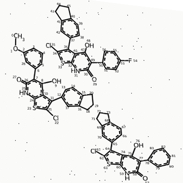 COc1cccc(-c2c(O)c3c(-c4ccc5c(c4)CCC5)c(Cl)sc3[nH]c2=O)c1.O=c1[nH]c2sc(Cl)c(-c3ccc4c(c3)CCC4)c2c(O)c1-c1ccc(F)cc1.O=c1[nH]c2sc(Cl)c(-c3ccc4c(c3)CCC4)c2c(O)c1-c1ccccc1